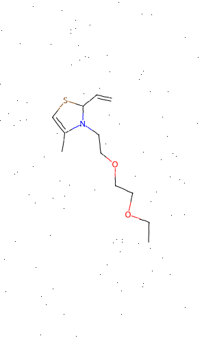 C=CC1SC=C(C)N1CCOCCOCC